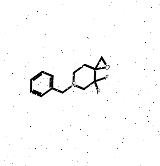 FC1(F)CN(Cc2ccccc2)CCC12CO2